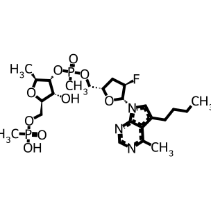 CCCCc1cn([C@@H]2O[C@H](COP(C)(=O)O[C@@H]3[C@H](O)[C@@H](COP(C)(=O)O)O[C@H]3C)C[C@H]2F)c2ncnc(C)c12